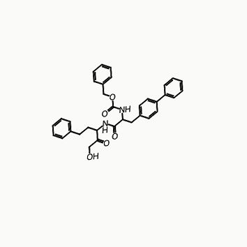 O=C(NC(Cc1ccc(-c2ccccc2)cc1)C(=O)NC(CCc1ccccc1)C(=O)CO)OCc1ccccc1